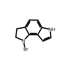 BrN1CCc2ccc3[nH]ccc3c21